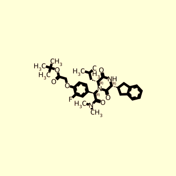 CC(C)C[C@@H]1C(=O)N[C@H](C2Cc3ccccc3C2)C(=O)N1[C@@H](C(=O)N(C)C)c1ccc(OCC(=O)OC(C)(C)C)c(F)c1